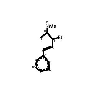 CCC(C=Cc1cccnc1)C(C)NC